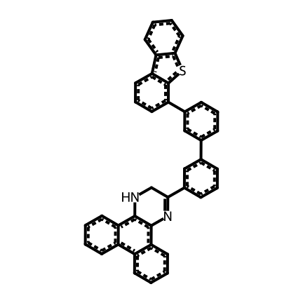 c1cc(C2=Nc3c(c4ccccc4c4ccccc34)NC2)cc(-c2cccc(-c3cccc4c3sc3ccccc34)c2)c1